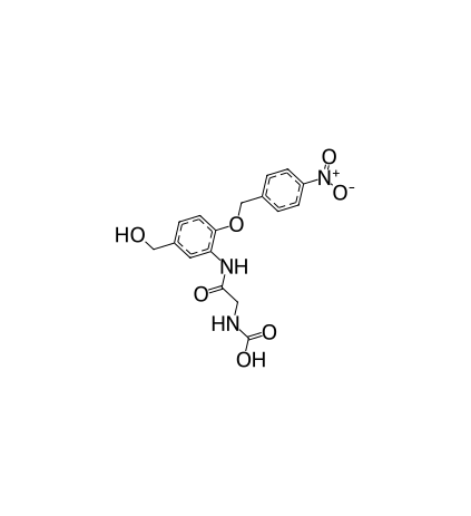 O=C(O)NCC(=O)Nc1cc(CO)ccc1OCc1ccc([N+](=O)[O-])cc1